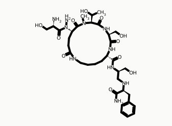 CC(O)[C@H]1C(=O)N[C@@H](CO)C(=O)N[C@H](C(=O)N[C@@H](CO)CN[C@@H](Cc2ccccc2)C(N)=O)CCCCNC(=O)CC[C@H](N(N)C(=O)[C@@H](N)CO)C(=O)N1C